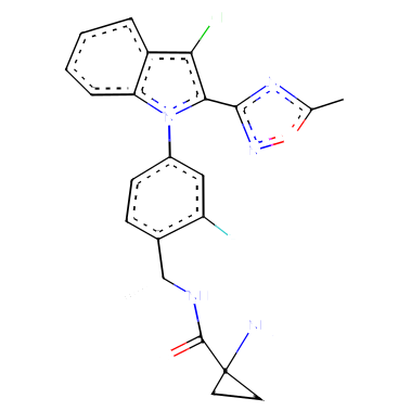 Cc1nc(-c2c(Cl)c3ccccc3n2-c2ccc([C@@H](C)NC(=O)C3(N)CC3)c(F)c2)no1